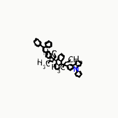 CCCC(C)(c1ccc2c(c1)c1ccccc1n2-c1ccccc1)c1c2ccccc2c(C(CC)(CCC)c2ccc(C=C(c3ccccc3)c3ccccc3)cc2)c2ccccc12